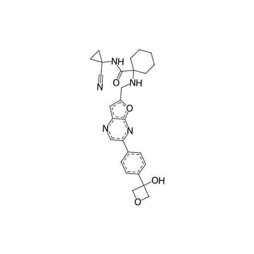 N#CC1(NC(=O)C2(NCc3cc4ncc(-c5ccc(C6(O)COC6)cc5)nc4o3)CCCCC2)CC1